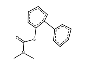 CN(C)C(=O)Sc1ccccc1-c1ccccc1